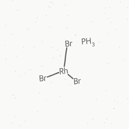 P.[Br][Rh]([Br])[Br]